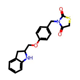 O=C1CSC(=O)N1Cc1ccc(OCC2Cc3ccccc3N2)cc1